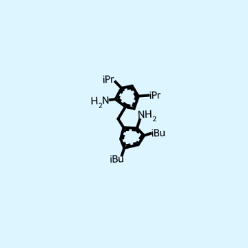 CCC(C)c1cc(Cc2cc(C(C)C)cc(C(C)C)c2N)c(N)c(C(C)CC)c1